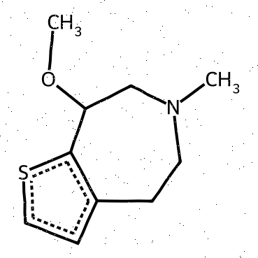 COC1CN(C)CCc2ccsc21